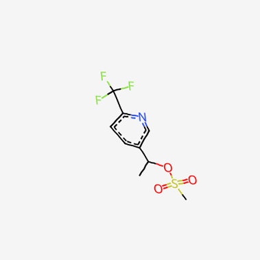 CC(OS(C)(=O)=O)c1ccc(C(F)(F)F)nc1